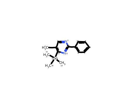 Cc1cnc(-c2ccccc2)n[c]1[Sn]([CH3])([CH3])[CH3]